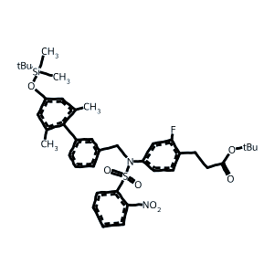 Cc1cc(O[Si](C)(C)C(C)(C)C)cc(C)c1-c1cccc(CN(c2ccc(CCC(=O)OC(C)(C)C)c(F)c2)S(=O)(=O)c2ccccc2[N+](=O)[O-])c1